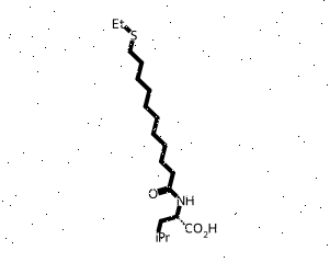 CCSCCCCCCCCCCC(=O)N[C@@H](CC(C)C)C(=O)O